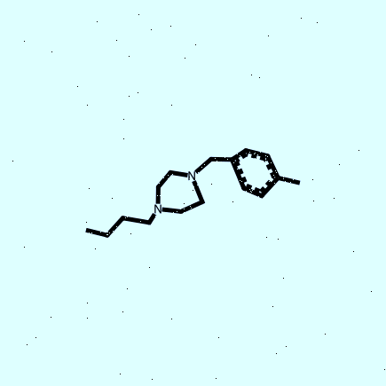 CCCCN1CCN(Cc2ccc(C)cc2)CC1